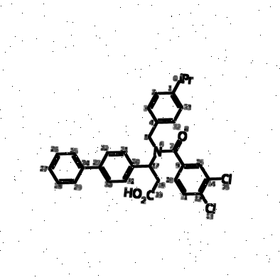 CC(C)c1ccc(CN(C(=O)c2ccc(Cl)c(Cl)c2)C(CC(=O)O)c2ccc(-c3ccccc3)cc2)cc1